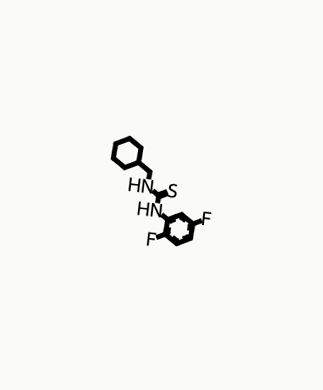 Fc1ccc(F)c(NC(=S)NCC2CCCCC2)c1